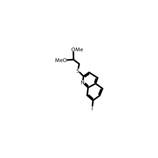 COC(CSc1ccc2ccc(I)cc2n1)OC